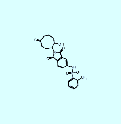 O=C1CCCC(O)C(N2C(=O)c3ccc(NS(=O)(=O)c4ccccc4C(F)(F)F)cc3C2=O)CC1